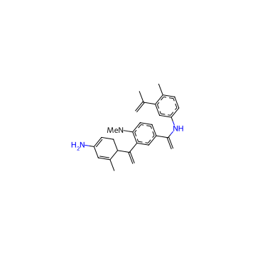 C=C(Nc1ccc(C)c(C(=C)C)c1)c1ccc(NC)c(C(=C)C2CC=C(N)C=C2C)c1